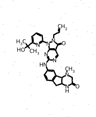 C=CCn1c(=O)c2cnc(Nc3ccc4c(c3)C3C(C4)NC(=O)CN3C)nc2n1-c1cccc(C(C)(C)O)n1